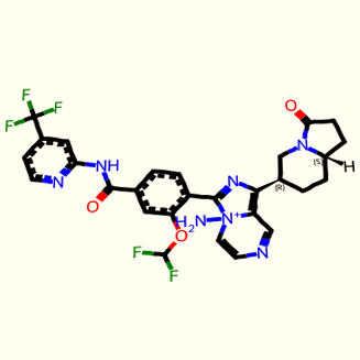 N[N+]12C=CN=CC1=C([C@@H]1CC[C@H]3CCC(=O)N3C1)N=C2c1ccc(C(=O)Nc2cc(C(F)(F)F)ccn2)cc1OC(F)F